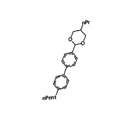 CCCCCc1ccc(-c2ccc(C3OCC(CCC)CO3)cc2)cc1